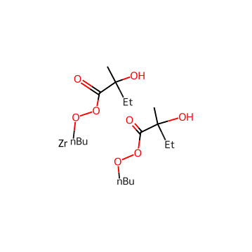 CCCCOOC(=O)C(C)(O)CC.CCCCOOC(=O)C(C)(O)CC.[Zr]